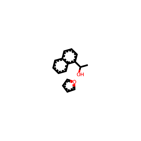 CC(O)c1cccc2ccccc12.c1ccoc1